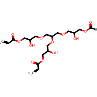 C=CC(=O)OCC(O)COCC(COCC(O)COC(=O)CC)OCC(O)COC(=O)C=C